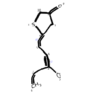 C=C/C(Cl)=C\C=C1/CC(=O)CS1